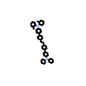 Cc1ccccc1N(c1ccc(-c2ccc(/C=C/c3ccc(-c4ccc(N(c5ccccc5)c5ccccc5)cc4)cc3)cc2)cc1)c1ccccc1C